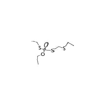 CCOP(=O)(SCC)SCSCC